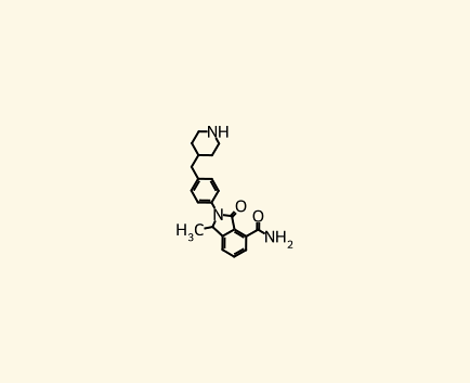 CC1c2cccc(C(N)=O)c2C(=O)N1c1ccc(CC2CCNCC2)cc1